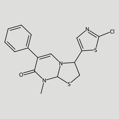 CN1C(=O)C(c2ccccc2)=CN2C(c3cnc(Cl)s3)CSC12